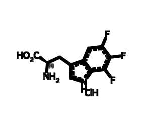 Cl.N[C@H](Cc1c[nH]c2c(F)c(F)c(F)cc12)C(=O)O